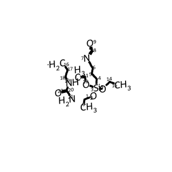 CCO[Si](CCCN=C=O)(OCC)OCC.[CH2]CCNC(N)=O